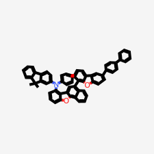 CC1(C)c2ccccc2-c2ccc(N(c3ccccc3)c3cccc4oc5c6ccccc6c(-c6cccc7c6oc6ccc(-c8ccc(-c9ccccc9)cc8)cc67)cc5c34)cc21